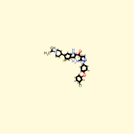 CC(C)N1CCC(c2cc3[nH]c(C(=O)c4cnn(-c5ccc(Oc6cccc(Cl)c6)cc5)c4N)cc3cc2F)CC1